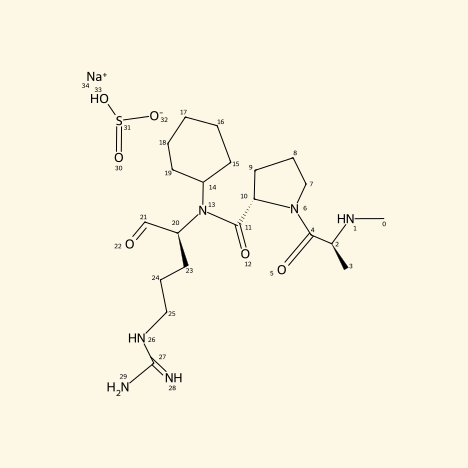 CN[C@@H](C)C(=O)N1CCC[C@H]1C(=O)N(C1CCCCC1)[C@H](C=O)CCCNC(=N)N.O=S([O-])O.[Na+]